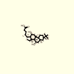 C[C@H](CCC(=O)O)[C@H]1CC[C@H]2[C@@H]3[C@H](O)C[C@@H]4C[C@@](O)(C(C)(C)C)CC[C@]4(C)[C@H]3C[C@H](O)[C@]12C